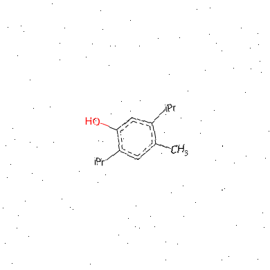 Cc1cc(C(C)C)c(O)cc1C(C)C